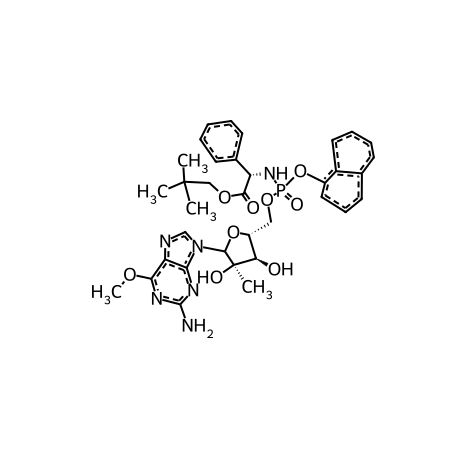 COc1nc(N)nc2c1ncn2C1O[C@H](COP(=O)(N[C@H](C(=O)OCC(C)(C)C)c2ccccc2)Oc2cccc3ccccc23)[C@@H](O)[C@@]1(C)O